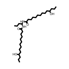 CCCC(O)CCCCCCCCCC(=O)NC(CCC)NC(=O)CCCCCCCCCC(O)CCC